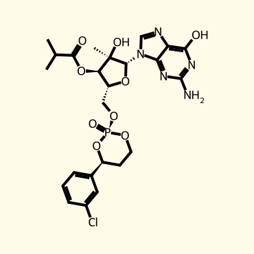 CC(C)C(=O)O[C@@H]1[C@@H](CO[P@@]2(=O)OCC[C@@H](c3cccc(Cl)c3)O2)O[C@@H](n2cnc3c(O)nc(N)nc32)[C@]1(C)O